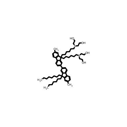 CCCCCCCCC1(CCCCCCC)c2cc(C)ccc2-c2ccc(-c3ccc4c(c3)C(CCCCCCN(CCO)CCO)(CCCCCCN(CCO)CCO)c3cc(C)ccc3-4)cc21